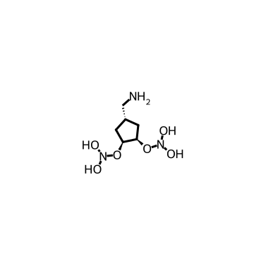 NC[C@H]1C[C@H](ON(O)O)[C@H](ON(O)O)C1